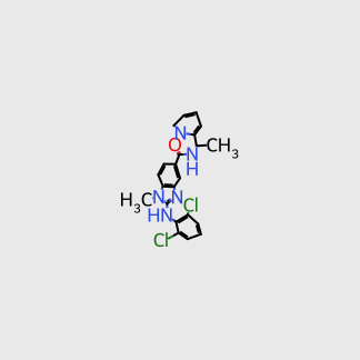 CC(NC(=O)c1ccc2c(c1)nc(Nc1c(Cl)cccc1Cl)n2C)c1ccccn1